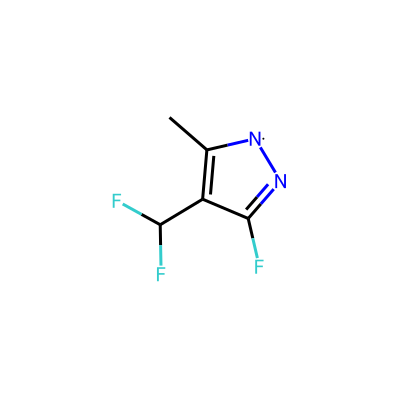 CC1=C(C(F)F)C(F)=N[N]1